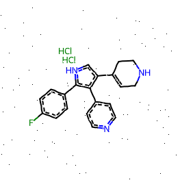 Cl.Cl.Fc1ccc(-c2[nH]cc(C3=CCNCC3)c2-c2ccncc2)cc1